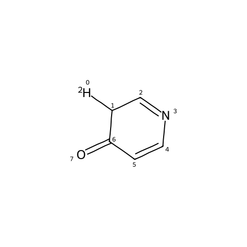 [2H]C1C=NC=CC1=O